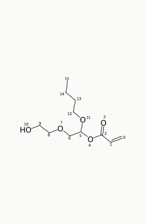 C=CC(=O)OC(COCCO)OCCCC